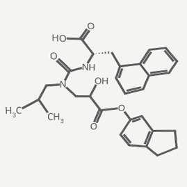 CC(C)CN(CC(O)C(=O)Oc1ccc2c(c1)CCC2)C(=O)N[C@@H](Cc1cccc2ccccc12)C(=O)O